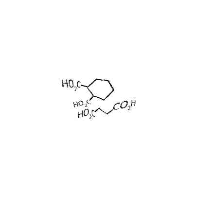 O=C(O)C1CCCCC1C(=O)O.O=C(O)CCC(=O)O